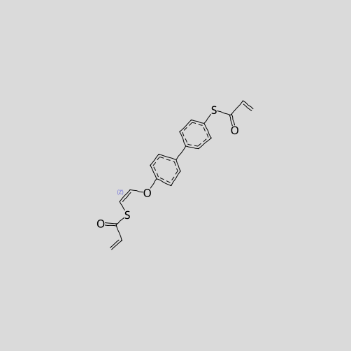 C=CC(=O)S/C=C\Oc1ccc(-c2ccc(SC(=O)C=C)cc2)cc1